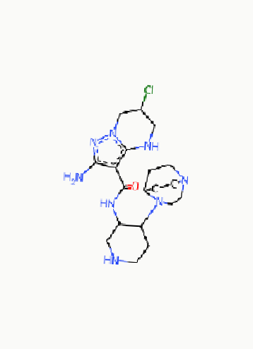 Nc1nn2c(c1C(=O)NC1CNCCC1N1CCN3CCC1CC3)NCC(Cl)C2